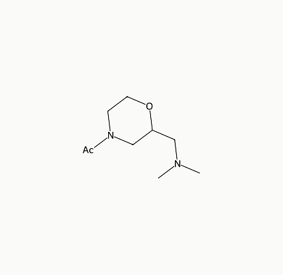 [CH2]C(=O)N1CCOC(CN(C)C)C1